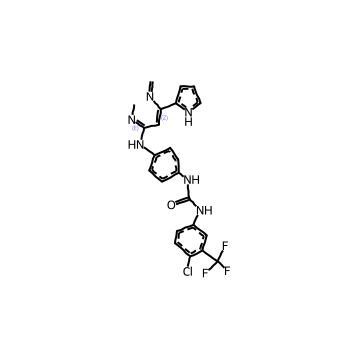 C=N/C(=C\C(=N/C)Nc1ccc(NC(=O)Nc2ccc(Cl)c(C(F)(F)F)c2)cc1)c1ccc[nH]1